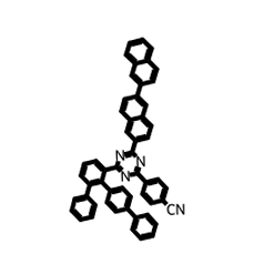 N#Cc1ccc(-c2nc(-c3ccc4cc(-c5ccc6ccccc6c5)ccc4c3)nc(-c3cccc(-c4ccccc4)c3-c3ccc(-c4ccccc4)cc3)n2)cc1